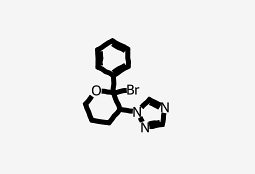 BrC1(c2ccccc2)OCCCC1n1cncn1